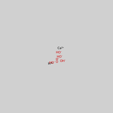 [Ca+2].[In+3].[OH-].[OH-].[OH-].[OH-].[OH-]